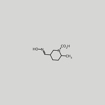 CC1CCC(/C=N/O)CN1C(=O)O